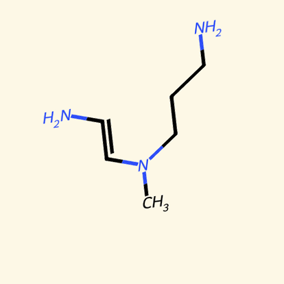 CN(C=CN)CCCN